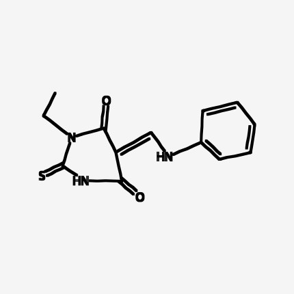 CCN1C(=O)/C(=C/Nc2ccccc2)C(=O)NC1=S